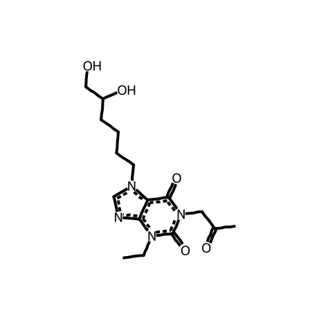 CCn1c(=O)n(CC(C)=O)c(=O)c2c1ncn2CCCCC(O)CO